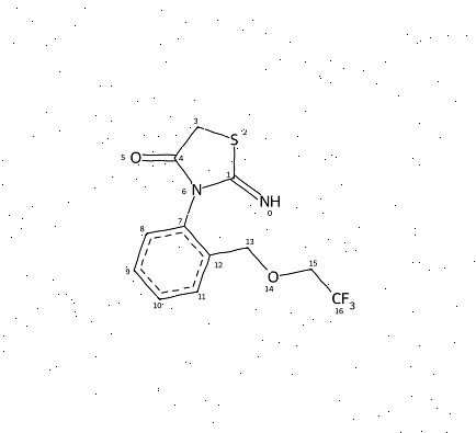 N=C1SCC(=O)N1c1ccccc1COCC(F)(F)F